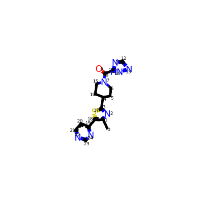 Cc1nc(C2CCN(C(=O)c3ncn[nH]3)CC2)sc1-c1ccncn1